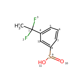 CC(F)(F)c1cccc(S(=O)O)c1